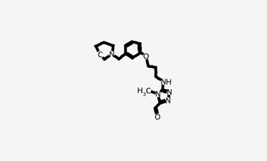 Cn1c(C=O)nnc1NCCCOc1cccc(CN2CCCCC2)c1